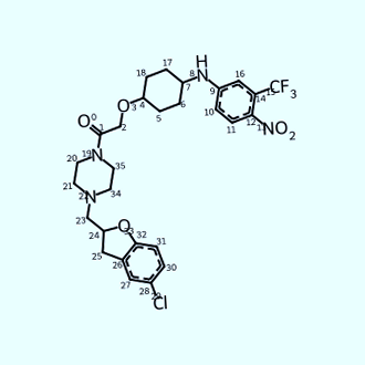 O=C(COC1CCC(Nc2ccc([N+](=O)[O-])c(C(F)(F)F)c2)CC1)N1CCN(CC2Cc3cc(Cl)ccc3O2)CC1